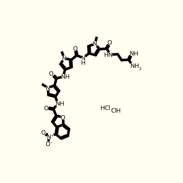 Cl.Cl.Cn1cc(NC(=O)c2cc(NC(=O)c3cc(NC(=O)c4cc5c([N+](=O)[O-])cccc5o4)cn3C)cn2C)cc1C(=O)NCCC(=N)N